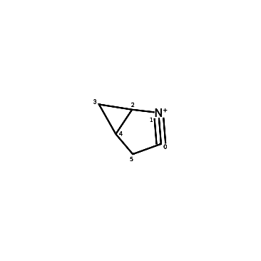 C1#[N+]C2CC2C1